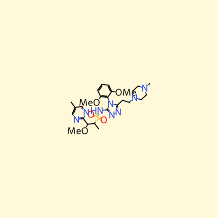 COc1cccc(OC)c1-n1c(CCN2CCN(C)CC2)nnc1NS(=O)(=O)C(C)C(OC)c1ncc(C)cn1